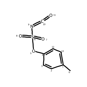 Cc1ccc(OS(=O)(=O)N=C=O)cc1